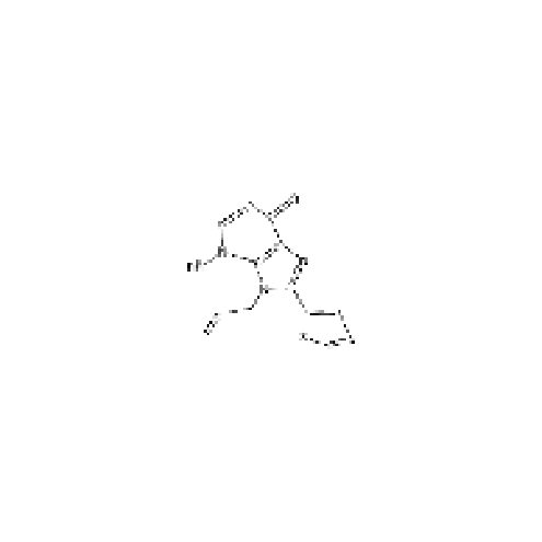 C=CCn1c(-c2cccs2)nc2c(=O)ncn(CCC)c21